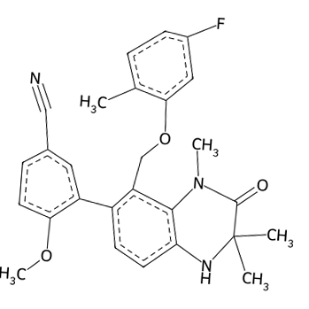 COc1ccc(C#N)cc1-c1ccc2c(c1COc1cc(F)ccc1C)N(C)C(=O)C(C)(C)N2